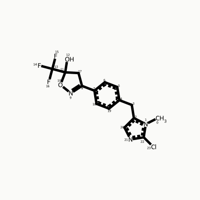 Cn1c(Cc2ccc(C3=NOC(O)(C(F)(F)F)C3)cc2)cnc1Cl